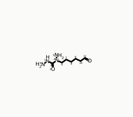 NNC(=O)N(N)CCCCCC=O